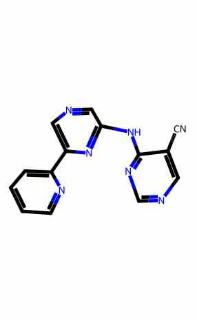 N#Cc1cncnc1Nc1cncc(-c2ccccn2)n1